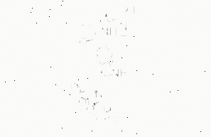 CNC(CS)C(=O)NC(C(=O)c1ccc2[nH]cc(CC(NC(=O)OC(C)(C)C)C(=O)O)c2c1)C(C)C